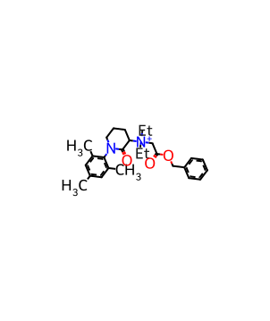 CC[N+](CC)(CC(=O)OCc1ccccc1)C1CCCN(c2c(C)cc(C)cc2C)C1=O